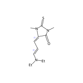 CCN(/C=C/C=C1\C(=O)N(C)C(=S)N1C)CC